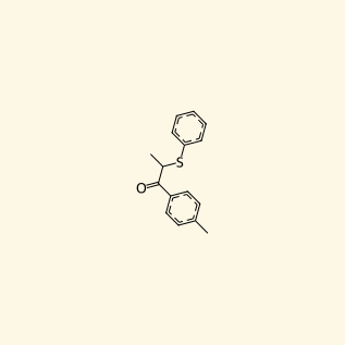 Cc1ccc(C(=O)C(C)Sc2ccccc2)cc1